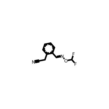 N#CCc1ccccc1C=NOC(F)F